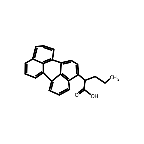 CCCC(C(=O)O)c1ccc2c3cccc4cccc(c5cccc1c52)c43